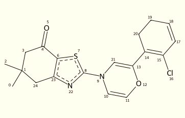 CC1(C)CC(=O)c2sc(N3C=COC(C4=C(Cl)C=CCC4)=C3)nc2C1